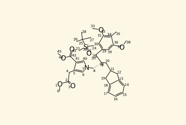 COC(=O)Cc1cn(C[C@@H](CC2Cc3ccccc3C2)[C@H](O[Si](C)(C)C(C)(C)C)c2cc(OC)c(C)c(OC)c2)cc1C(=O)OC